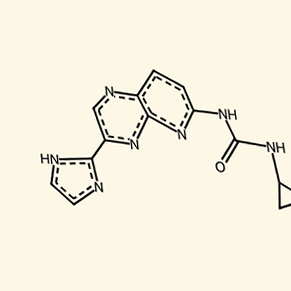 O=C(Nc1ccc2ncc(-c3ncc[nH]3)nc2n1)NC1CC1